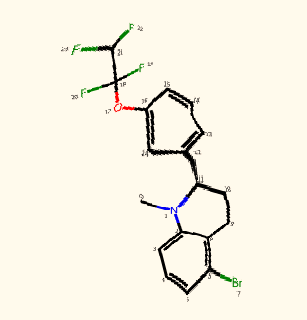 CN1c2cccc(Br)c2CC[C@@H]1c1cccc(OC(F)(F)C(F)F)c1